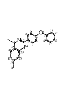 CC(N=Cc1ccc(Oc2ccccc2)cc1)c1ccc(I)cc1I